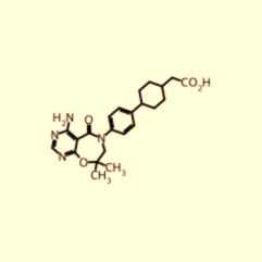 CC1(C)CN(c2ccc(C3CCC(CC(=O)O)CC3)cc2)C(=O)c2c(N)ncnc2O1